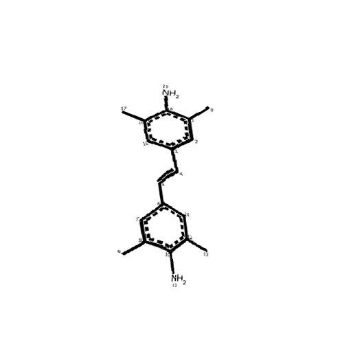 Cc1cc(C=Cc2cc(C)c(N)c(C)c2)cc(C)c1N